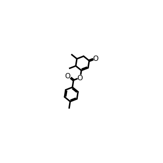 Cc1ccc(C(=O)OC2=CC(=O)CC(C)C2C)cc1